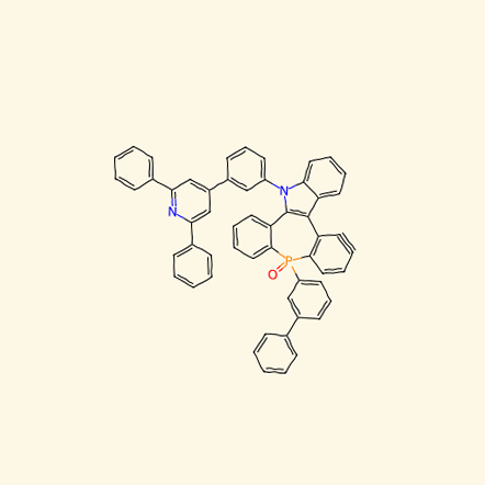 O=P1(c2cccc(-c3ccccc3)c2)c2ccc#cc2-c2c(n(-c3cccc(-c4cc(-c5ccccc5)nc(-c5ccccc5)c4)c3)c3ccccc23)-c2ccccc21